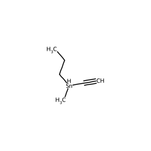 C#[C][SnH]([CH3])[CH2]CC